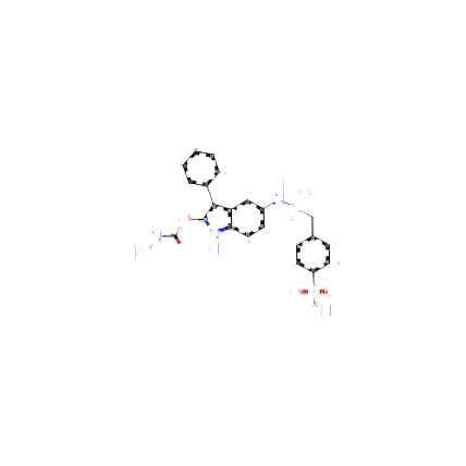 CCCNC(=O)Oc1[nH]c2ccc(NS(=O)(=O)Cc3ccc(S(C)(=O)=O)cc3)cc2c1-c1ccccc1